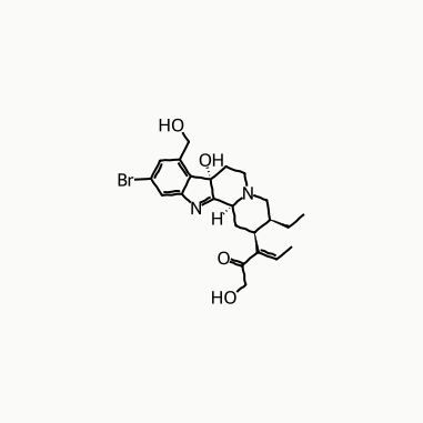 C/C=C(/C(=O)CO)[C@H]1C[C@H]2C3=Nc4cc(Br)cc(CO)c4[C@@]3(O)CCN2C[C@H]1CC